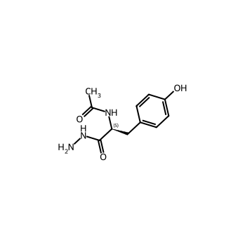 CC(=O)N[C@@H](Cc1ccc(O)cc1)C(=O)NN